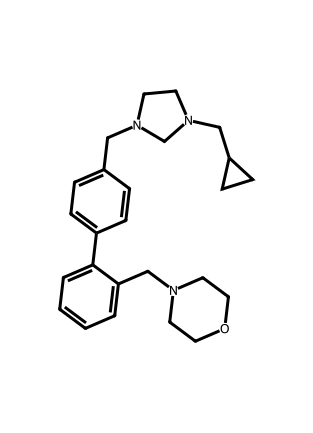 c1ccc(-c2ccc(CN3CCN(CC4CC4)C3)cc2)c(CN2CCOCC2)c1